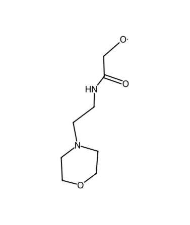 [O]CC(=O)NCCN1CCOCC1